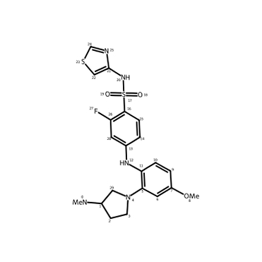 CNC1CCN(c2cc(OC)ccc2Nc2ccc(S(=O)(=O)Nc3cscn3)c(F)c2)C1